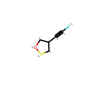 FC#CC1COSC1